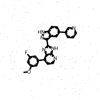 COc1cc(F)cc(-c2ccnc3[nH]c(-c4n[nH]c5ccc(-c6cccnc6)cc45)nc23)c1